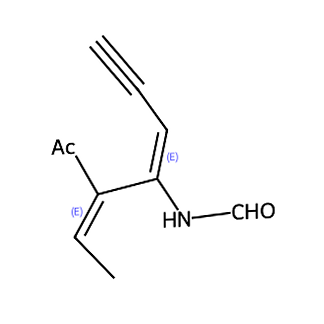 C#C/C=C(NC=O)\C(=C/C)C(C)=O